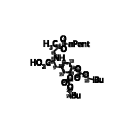 CCCCCC(=O)OC(C)CN[C@@H](Cc1ccc(OC(=O)OCC(C)CC)c(OC(=O)OCC(C)CC)c1)C(=O)O